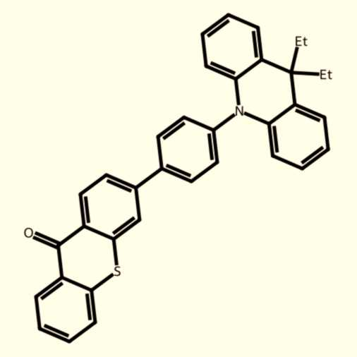 CCC1(CC)c2ccccc2N(c2ccc(-c3ccc4c(=O)c5ccccc5sc4c3)cc2)c2ccccc21